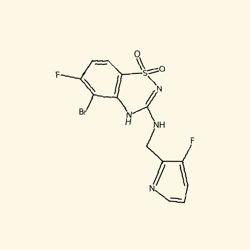 O=S1(=O)N=C(NCc2ncccc2F)Nc2c1ccc(F)c2Br